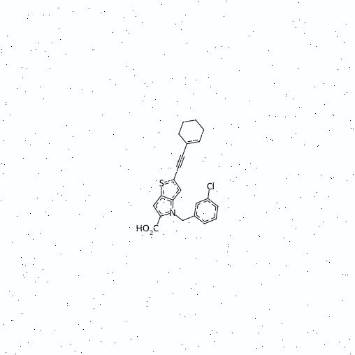 O=C(O)c1cc2sc(C#CC3=CCCCC3)cc2n1Cc1cccc(Cl)c1